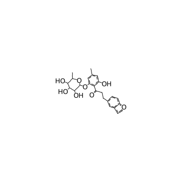 Cc1cc(O)c(C(=O)CCc2ccc3occc3c2)c(OC2OC(C)C(O)C(O)C2O)c1